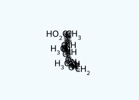 C=C1C[C@H]2C=Nc3cc(OCCCC(=O)Nc4cn(C)c(C(=O)Nc5ccc(-c6cc(C(=O)O)n(C)c6)cc5)n4)c(C)cc3C(=O)N2C1